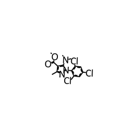 COC(=O)c1c(C)nn(-c2c(Cl)cc(Cl)cc2Cl)c1N(C)C